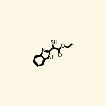 CCOC(=O)C(S)c1nc2ccccc2[nH]1